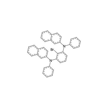 Brc1c(N(c2ccccc2)c2ccc3ccccc3c2)cccc1N(c1ccccc1)c1ccc2ccccc2c1